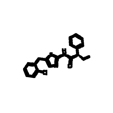 CC[C@@H](C(=O)Nc1ncc(Cc2ccccc2Cl)s1)c1ccccc1